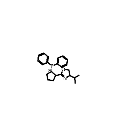 CC(C)C1COC(C2CCC[C@@H]2P(c2ccccc2)c2ccccc2)=N1